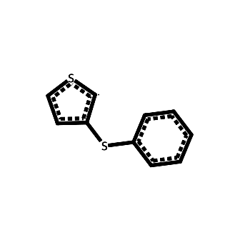 [c]1sccc1Sc1ccccc1